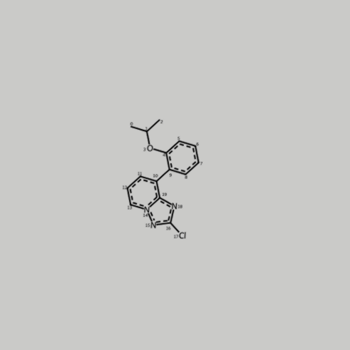 CC(C)Oc1ccccc1-c1cccn2nc(Cl)nc12